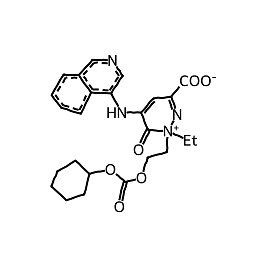 CC[N+]1(CCOC(=O)OC2CCCCC2)N=C(C(=O)[O-])C=C(Nc2cncc3ccccc23)C1=O